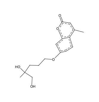 Cc1cc(=O)oc2cc(OCCCC(C)(O)CO)ccc12